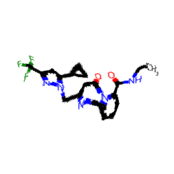 CCNC(=O)c1cccc2nc(Cn3nc(C(F)(F)F)cc3C3CC3)cc(=O)n12